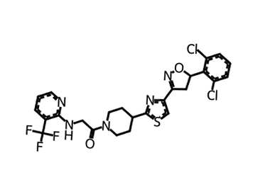 O=C(CNc1ncccc1C(F)(F)F)N1CCC(c2nc(C3=NOC(c4c(Cl)cccc4Cl)C3)cs2)CC1